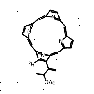 [2H]C1=C(C(=C)C(C)OC(C)=O)C2=CC3=NC(=CC4=NC(=CC5=NC(=CC1=N2)C=C5)C=C4)C=C3